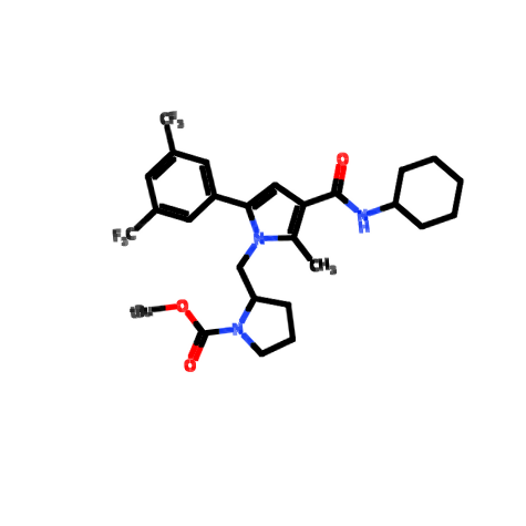 Cc1c(C(=O)NC2CCCCC2)cc(-c2cc(C(F)(F)F)cc(C(F)(F)F)c2)n1CC1CCCN1C(=O)OC(C)(C)C